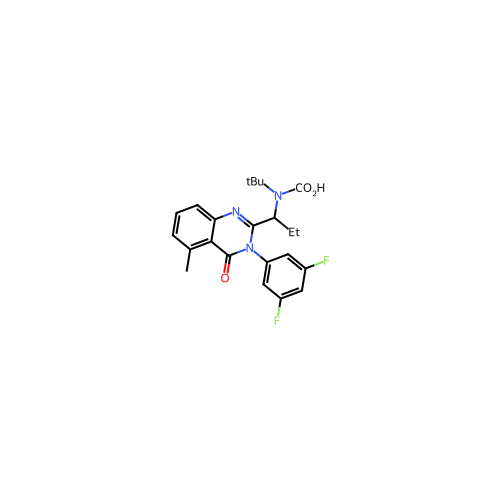 CCC(c1nc2cccc(C)c2c(=O)n1-c1cc(F)cc(F)c1)N(C(=O)O)C(C)(C)C